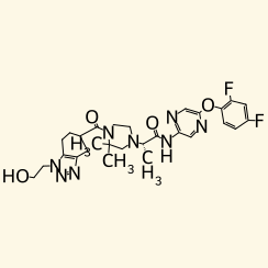 C[C@@H](C(=O)Nc1cnc(Oc2ccc(F)cc2F)cn1)N1CCN(C(=O)C2CCc3c(nnn3CCO)C2)C(C)(C)C1